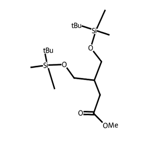 COC(=O)CC(CO[Si](C)(C)C(C)(C)C)CO[Si](C)(C)C(C)(C)C